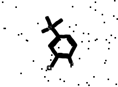 C[Si](C)(C)c1ccc(F)c(Cl)c1